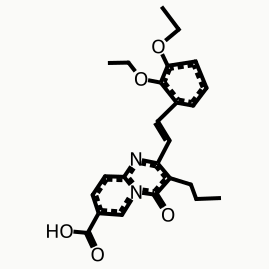 CCCc1c(C=Cc2cccc(OCC)c2OCC)nc2ccc(C(=O)O)cn2c1=O